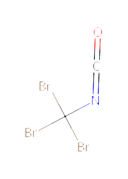 O=C=NC(Br)(Br)Br